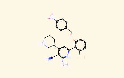 N#Cc1c(C2CCCNC2)cc(-c2c(O)cccc2OCc2ccc([N+](=O)[O-])cc2)nc1N